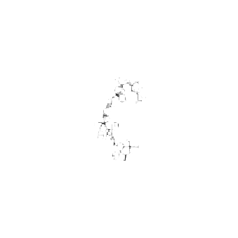 C=C(CC(C)(C)C)C(=O)OCCNC(=O)OC(C)(C)CCCCCC(=O)OC(C)(C)CC(CC)CCCC